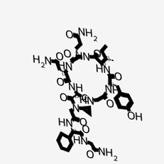 CC[C@H](C)[C@@H]1NC(=O)[C@H](Cc2ccc(O)cc2)NC(=O)CNC[C@@H](C(=O)N(CC(=O)N[C@H](C(=O)NCC(N)=O)C2CCCCC2)C2CC2)NC(=O)[C@H](CC(N)=O)NC(=O)[C@H](CCC(N)=O)NC1=O